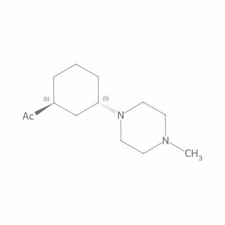 CC(=O)[C@H]1CCC[C@H](N2CCN(C)CC2)C1